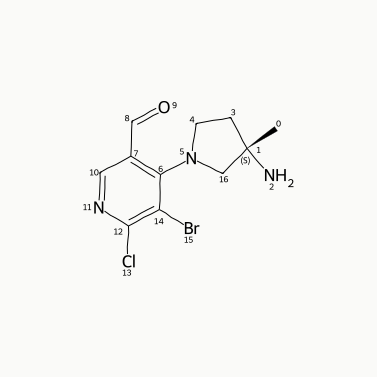 C[C@]1(N)CCN(c2c(C=O)cnc(Cl)c2Br)C1